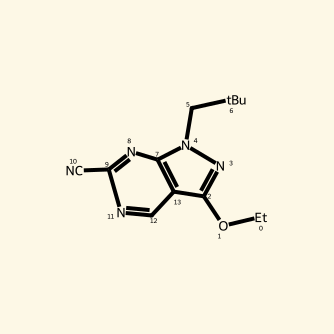 CCOc1nn(CC(C)(C)C)c2nc(C#N)ncc12